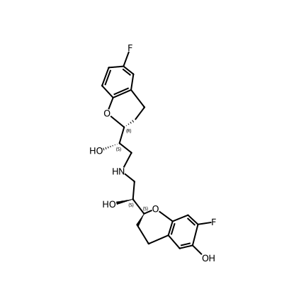 Oc1cc2c(cc1F)O[C@H]([C@@H](O)CNC[C@H](O)[C@H]1CCc3cc(F)ccc3O1)CC2